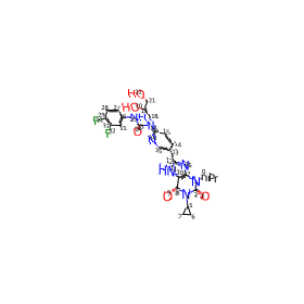 CCCn1c(=O)n(C2CC2)c(=O)c2[nH]c(-c3ccc(N(CC(O)CO)C(=O)Nc4ccc(F)c(F)c4)nc3)nc21